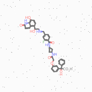 O=C(COc1cccc(C(O)(C(=O)O)c2ccccc2)c1)NC1CC(NC(=O)c2ccc(CNCC(O)c3ccc(O)c4[nH]c(=O)ccc34)cc2F)C1